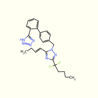 CC/C=C/c1nc(C(F)(F)CCCC)nn1Cc1ccc(-c2ccccc2-c2nnn[nH]2)cc1